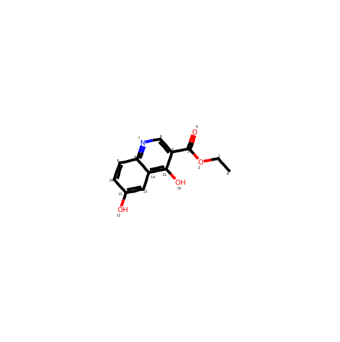 CCOC(=O)c1cnc2ccc(O)cc2c1O